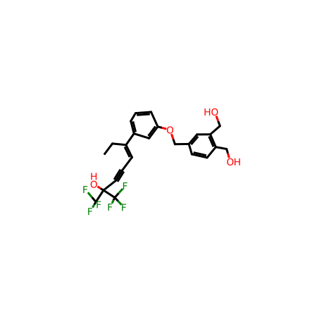 CCC(=CC#CC(O)(C(F)(F)F)C(F)(F)F)c1cccc(OCc2ccc(CO)c(CO)c2)c1